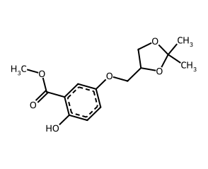 COC(=O)c1cc(OCC2COC(C)(C)O2)ccc1O